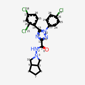 O=C(NN1CC2CCCC2C1)c1nc(-c2ccc(Cl)cc2Cl)n(-c2ccc(Cl)cc2)n1